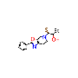 CCC(O)C(=S)N1CCc2nc(-c3ccccc3)oc2C1